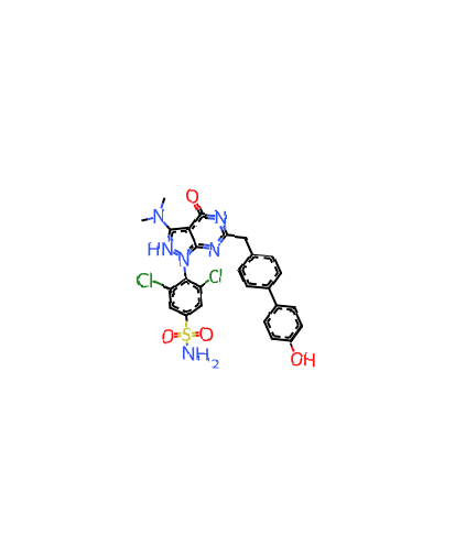 CN(C)c1[nH]n(-c2c(Cl)cc(S(N)(=O)=O)cc2Cl)c2nc(Cc3ccc(-c4ccc(O)cc4)cc3)nc(=O)c1-2